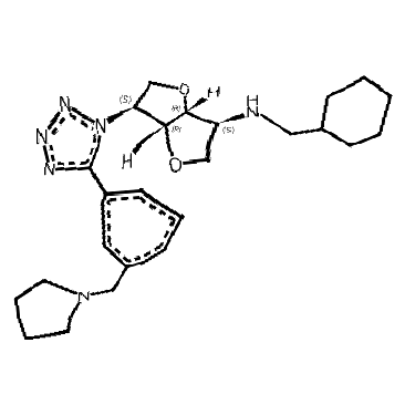 c1cc(CN2CCCC2)cc(-c2nnnn2[C@H]2CO[C@H]3[C@@H]2OC[C@@H]3NCC2CCCCC2)c1